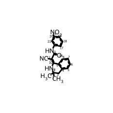 CC1(C)Cc2ccccc2/C(=C(/C#N)C(=O)Nc2cccc([N+](=O)[O-])c2)N1